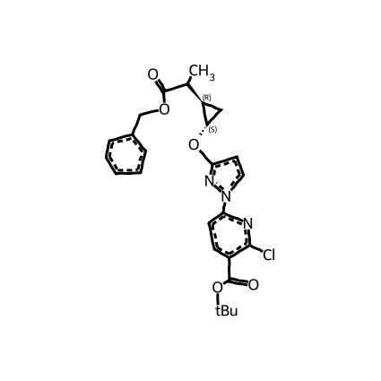 CC(C(=O)OCc1ccccc1)[C@H]1C[C@@H]1Oc1ccn(-c2ccc(C(=O)OC(C)(C)C)c(Cl)n2)n1